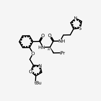 CC(C)C[C@@H](NC(=O)c1ccccc1OCc1ncc(C(C)(C)C)o1)C(=O)NCCc1cncs1